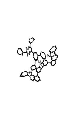 c1ccc(-c2ccc3c(c2)c2cc(-c4ccccc4)ccc2n3-c2c(-c3ccc(-n4c5ccccc5c5ccccc54)cc3)cc(-c3cc(-c4ccccc4)nc(-c4ccccc4)n3)cc2-c2ccc(-n3c4ccccc4c4ccccc43)cc2)cc1